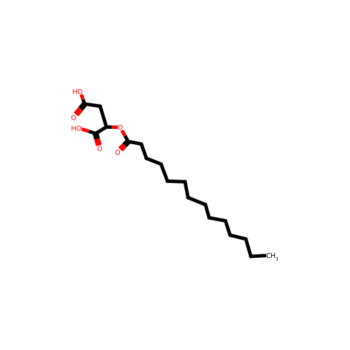 CCCCCCCCCCCCCC(=O)OC(CC(=O)O)C(=O)O